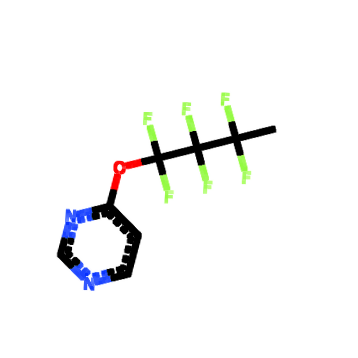 CC(F)(F)C(F)(F)C(F)(F)Oc1ccncn1